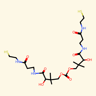 CC(C)(COC(=O)OCC(C)(C)C(O)C(=O)NCCC(=O)NCCS)C(O)C(=O)NCCC(=O)NCCS